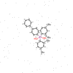 CC(C)(C)c1ccc(P(O)(O)(c2ccc(-c3ccccc3)cc2)c2ccc(C(C)(C)C)cc2C(C)(C)C)c(C(C)(C)C)c1